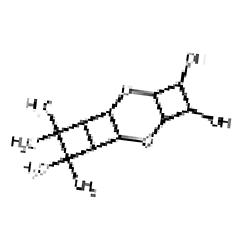 CC1(C)C2C3OC4C(O)C(O)C4OC3C2C1(C)C